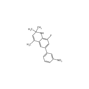 CC1=CC(C)(C)Nc2c(F)cc(-c3cccc([N+](=O)[O-])c3)cc21